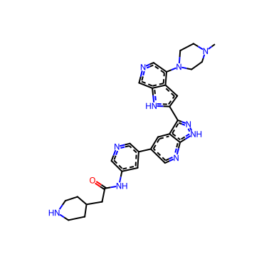 CN1CCN(c2cncc3[nH]c(-c4n[nH]c5ncc(-c6cncc(NC(=O)CC7CCNCC7)c6)cc45)cc23)CC1